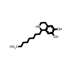 O=C(O)CCCCCCCC1NCCc2cc(O)c(O)cc21